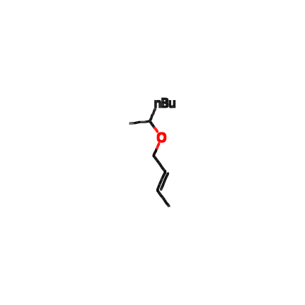 CC=CCOC(C)CCCC